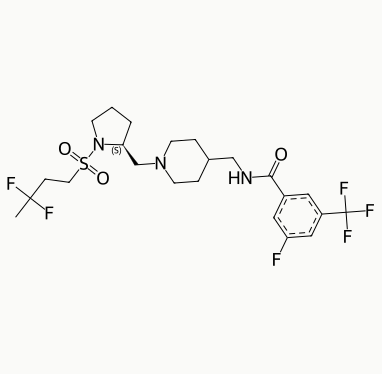 CC(F)(F)CCS(=O)(=O)N1CCC[C@H]1CN1CCC(CNC(=O)c2cc(F)cc(C(F)(F)F)c2)CC1